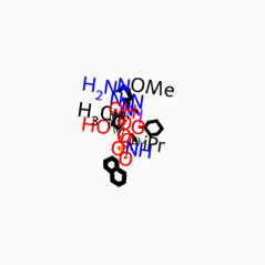 COc1nc(N)nc2c1nc(I)n2[C@@H]1O[C@H](COP(=O)(N[C@H](C(=O)OC2CCCCC2)C(C)C)Oc2cccc3ccccc23)[C@@H](O)[C@@]1(C)O